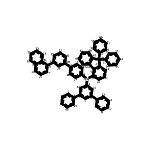 c1ccc(-c2cc(-c3ccccc3)cc(N(c3ccc(-c4cccc(-c5cccc6ccccc56)c4)cc3)c3cccc4c3-c3ccccc3C4(c3ccccc3)c3ccccc3)c2)cc1